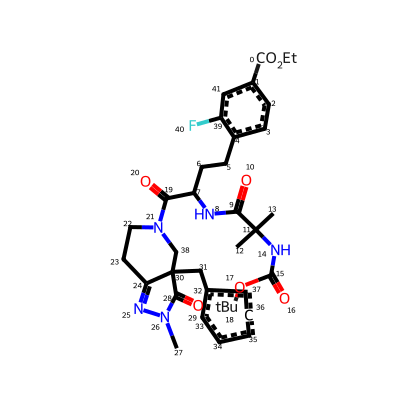 CCOC(=O)c1ccc(CCC(NC(=O)C(C)(C)NC(=O)OC(C)(C)C)C(=O)N2CCC3=NN(C)C(=O)C3(Cc3ccccc3)C2)c(F)c1